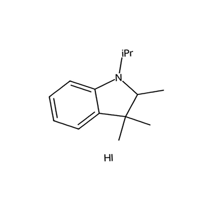 CC(C)N1c2ccccc2C(C)(C)C1C.I